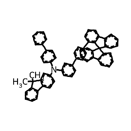 CC1(C)c2ccccc2-c2ccc(N(c3ccc(-c4ccccc4)cc3)c3cccc(-c4ccc(-c5cccc6c5C5(c7ccccc7-c7ccccc75)c5ccccc5-6)cc4)c3)cc21